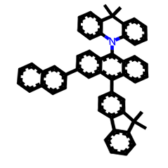 CC1(C)c2ccccc2-c2ccc(-c3c4ccccc4c(N4c5ccccc5C(C)(C)c5ccccc54)c4ccc(-c5ccc6ccccc6c5)cc34)cc21